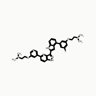 CN(C)CCOc1cncc(-c2ccc3[nH]nc(-c4cc5c(-c6cc(F)cc(OCCN(C)C)c6)cccc5[nH]4)c3n2)c1